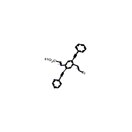 CC/C=C/c1cc(C#Cc2ccccc2)c(/C=C/C(=O)OCC)cc1C#Cc1ccccc1